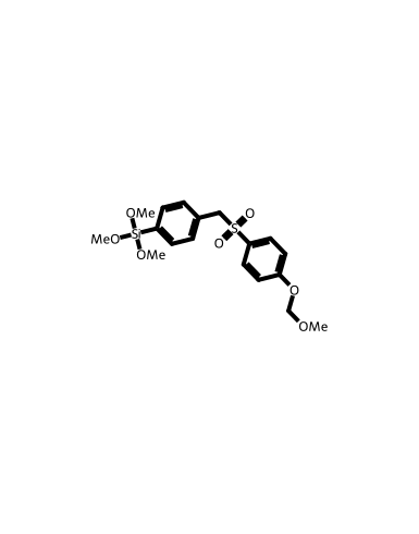 COCOc1ccc(S(=O)(=O)Cc2ccc([Si](OC)(OC)OC)cc2)cc1